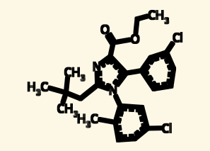 CCOC(=O)c1nc(CC(C)(C)C)n(-c2cc(Cl)ccc2C)c1-c1cccc(Cl)c1